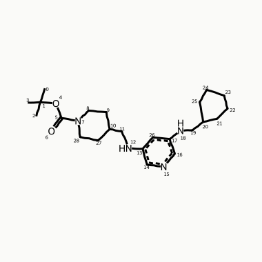 CC(C)(C)OC(=O)N1CCC(CNc2cncc(NCC3CCCCC3)c2)CC1